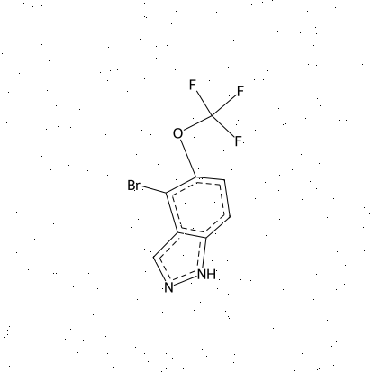 FC(F)(F)Oc1ccc2[nH]ncc2c1Br